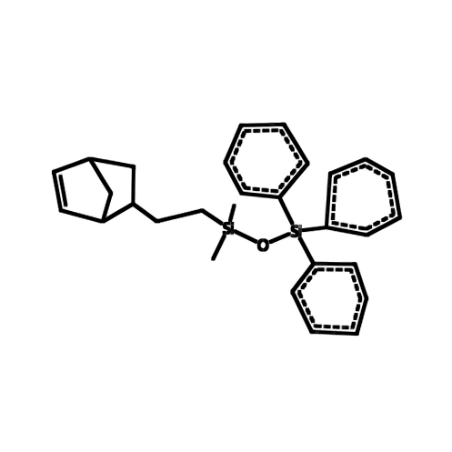 C[Si](C)(CCC1CC2C=CC1C2)O[Si](c1ccccc1)(c1ccccc1)c1ccccc1